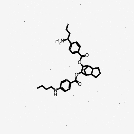 CCCCNc1ccc(C(=O)OC2C3CC(C4CCCC43)C2OC(=O)c2ccc(C(N)CCC)cc2)cc1